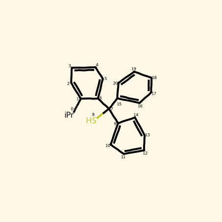 CC(C)c1ccccc1C(S)(c1ccccc1)c1ccccc1